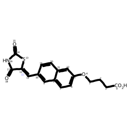 O=C(O)CCCOc1ccc2cc(/C=C3\SC(=O)NC3=O)ccc2c1